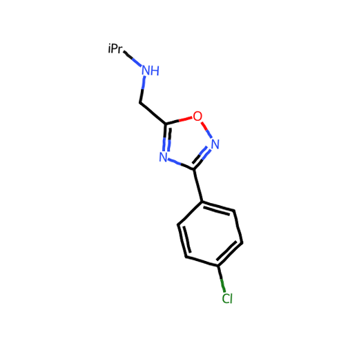 CC(C)NCc1nc(-c2ccc(Cl)cc2)no1